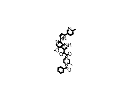 COc1cnc(-n2ccc(-c3ccc(C)nc3)n2)c2[nH]cc(C(=O)C(=O)N3CCN(C(=O)c4ccccc4)[C@H](C)C3)c12